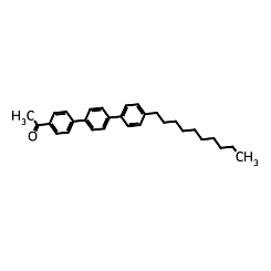 CCCCCCCCCCc1ccc(-c2ccc(-c3ccc(C(C)=O)cc3)cc2)cc1